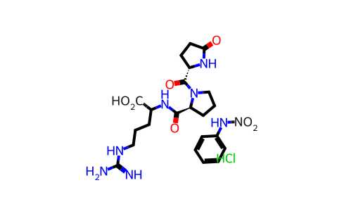 Cl.N=C(N)NCCCC(NC(=O)[C@@H]1CCCN1C(=O)[C@@H]1CCC(=O)N1)C(=O)O.O=[N+]([O-])Nc1ccccc1